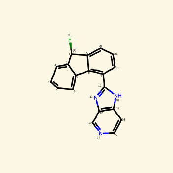 F[C@@H]1c2ccccc2-c2c(-c3nc4cnccc4[nH]3)cccc21